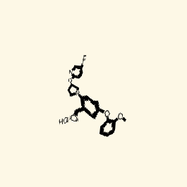 COc1ccccc1Oc1ccc(N2CC[C@H](Oc3ccc(F)cn3)C2)c(COO)c1